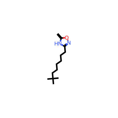 C=C1NC(CCCCCCC(C)(C)C)=NO1